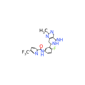 Cc1ncc2c(n1)CC(c1cc(NC(=O)c3ccc(C(F)(F)F)cn3)ccc1F)NC2=N